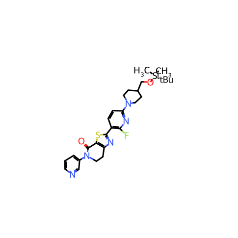 CC(C)(C)[Si](C)(C)OCC1CCN(c2ccc(-c3nc4c(s3)C(=O)N(c3cccnc3)CC4)c(F)n2)CC1